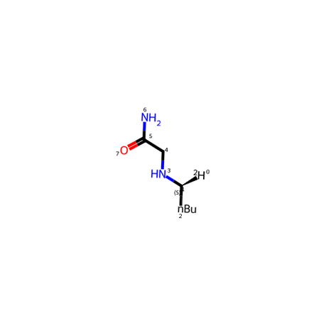 [2H][C@@H](CCCC)NCC(N)=O